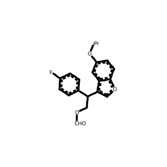 CC(C)Oc1ccc2occ(C(COC=O)c3ccc(F)cc3)c2c1